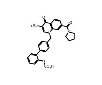 CCCCc1cn(Cc2ccc(-c3ccccc3OC(=O)O)cc2)c2cc(C(=O)N3CCCC3)ccc2c1=O